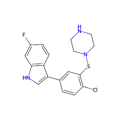 Fc1ccc2c(-c3ccc(Cl)c(SN4CCNCC4)c3)c[nH]c2c1